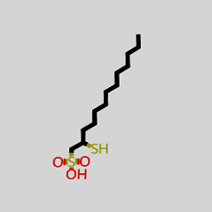 CCCCCCCCCCCC(S)CS(=O)(=O)O